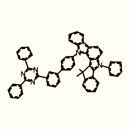 CC1(C)c2ccccc2-c2c1c1c(ccc3c4ccccc4n(-c4ccc(-c5cccc(-c6nc(-c7ccccc7)nc(-c7ccccc7)n6)c5)cc4)c31)n2-c1ccccc1